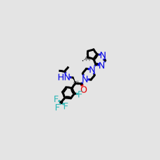 CC(C)NC[C@@H](C(=O)N1CCN(c2ncnc3c2[C@H](C)CC3)CC1)c1ccc(C(F)(F)F)cc1F